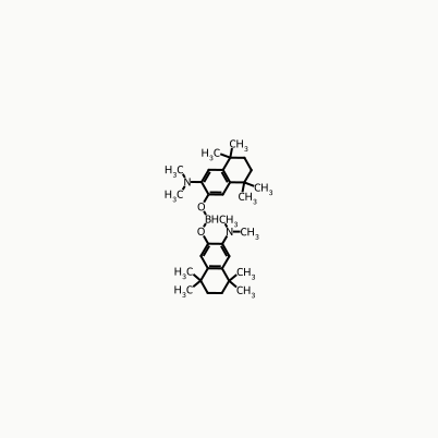 CN(C)c1cc2c(cc1OBOc1cc3c(cc1N(C)C)C(C)(C)CCC3(C)C)C(C)(C)CCC2(C)C